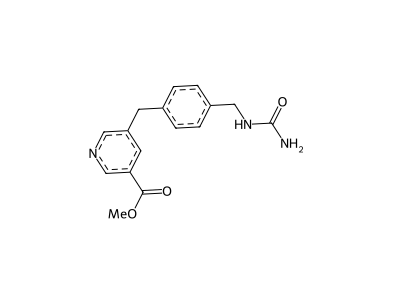 COC(=O)c1cncc(Cc2ccc(CNC(N)=O)cc2)c1